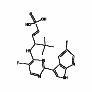 CC(C)(C)C(C=CP(=O)(O)O)Nc1nc(-c2c[nH]c3ncc(F)cc23)ncc1F